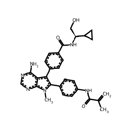 C=C(C)C(=O)Nc1ccc(-c2c(-c3ccc(C(=O)N[C@@H](CO)C4CC4)cc3)c3c(N)ncnc3n2C)cc1